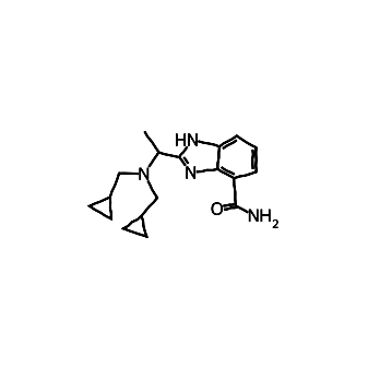 CC(c1nc2c(C(N)=O)cccc2[nH]1)N(CC1CC1)CC1CC1